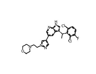 CC(c1c(Cl)ccc(F)c1Cl)c1c[nH]c2ncc(-c3cnn(CCN4CCOCC4)c3)cc12